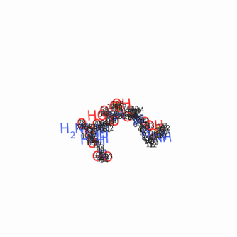 Cc1c(-c2ccc(N3CCc4cccc(C(=O)Nc5nc6ccccc6s5)c4C3)nc2C(=O)O)cnn1CC12CC3(C)CC(C)(C1)CC(OCCN(CCN(CCC(=O)O)C(=O)OCc1ccc(NC(=O)[C@H](CCCNC(N)=O)NC(=O)[C@@H](NC(=O)CCCCCN4C(=O)C=CC4=O)C(C)C)cc1)CCS(=O)(=O)O)(C3)C2